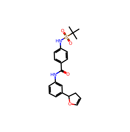 CC(C)(C)S(=O)(=O)Nc1ccc(C(=O)Nc2cccc(C3CC=CO3)c2)cc1